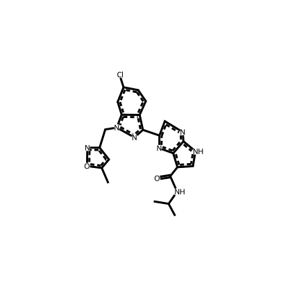 Cc1cc(Cn2nc(-c3cnc4[nH]cc(C(=O)NC(C)C)c4n3)c3ccc(Cl)cc32)no1